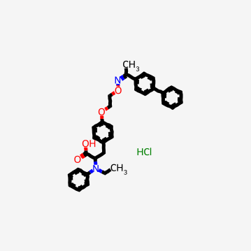 CCN(c1ccccc1)C(Cc1ccc(OCCON=C(C)c2ccc(-c3ccccc3)cc2)cc1)C(=O)O.Cl